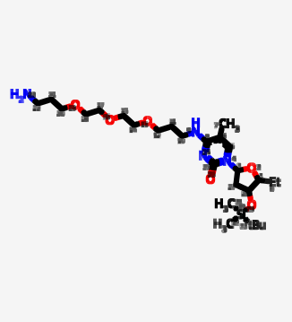 CCC1OC(n2cc(C)c(NCCCOCCOCCOCCCN)nc2=O)CC1O[Si](C)(C)C(C)(C)C